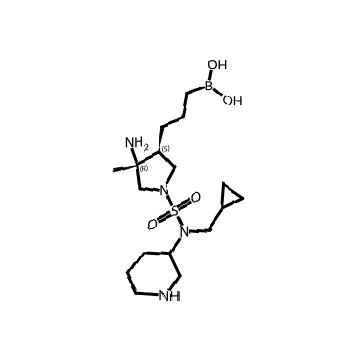 C[C@]1(N)CN(S(=O)(=O)N(CC2CC2)C2CCCNC2)C[C@@H]1CCCB(O)O